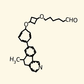 CC1Cc2ccncc2-c2ccc(C3=CC=CC(OC4CC(OCCCCCC=O)C4)C=C3)cc21